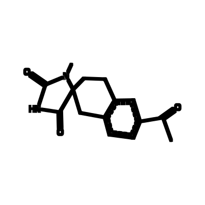 CC(=O)c1ccc2c(c1)CCC1(C2)C(=O)NC(=O)N1C